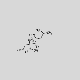 CC(C)CC(N)C(=O)C(N)(CC=O)C(=O)O